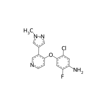 Cn1cc(-c2cnccc2Oc2cc(F)c(N)cc2Cl)cn1